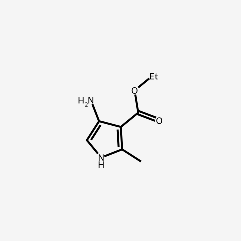 CCOC(=O)c1c(N)c[nH]c1C